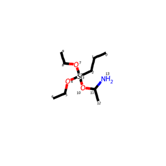 CCC[Si](OCC)(OCC)OC(C)N